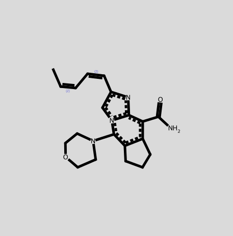 C/C=C\C=C/c1cn2c(N3CCOCC3)c3c(c(C(N)=O)c2n1)CCC3